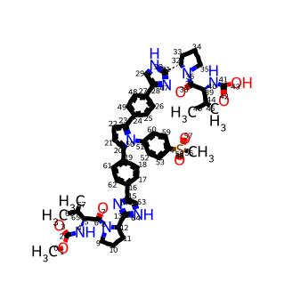 COC(=O)N[C@H](C(=O)N1CCCC1c1nc(-c2ccc(-c3ccc(-c4ccc(-c5c[nH]c([C@@H]6CCCN6C(=O)[C@@H](NC(=O)O)C(C)C)n5)cc4)n3-c3ccc(S(C)(=O)=O)cc3)cc2)c[nH]1)C(C)C